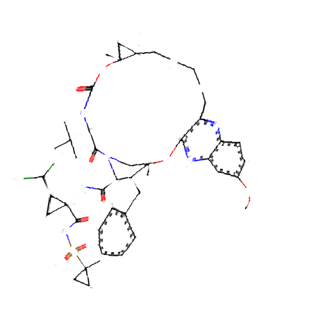 COc1ccc2nc3c(nc2c1)O[C@H]1CN(C(=O)[C@H](C(C)(C)C)NC(=O)O[C@@H]2C[C@H]2CCCCC3)[C@H](C(=O)N[C@]2(C(=O)NS(=O)(=O)C3(C)CC3)C[C@H]2C(F)F)[C@@H]1Cc1ccccc1